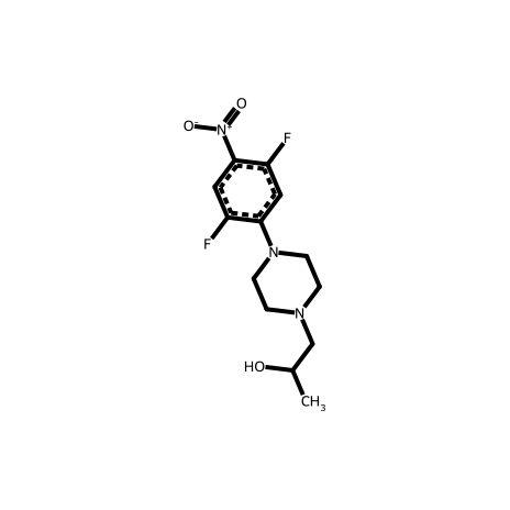 CC(O)CN1CCN(c2cc(F)c([N+](=O)[O-])cc2F)CC1